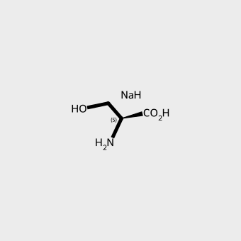 N[C@@H](CO)C(=O)O.[NaH]